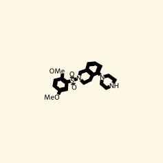 COc1ccc(OC)c(S(=O)(=O)N2CCc3c(cccc3N3CCNCC3)C2)c1